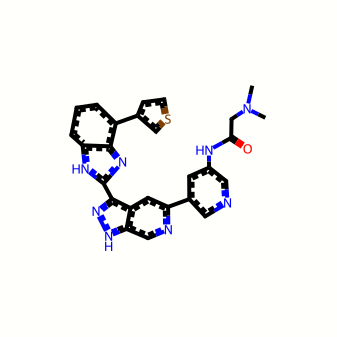 CN(C)CC(=O)Nc1cncc(-c2cc3c(-c4nc5c(-c6ccsc6)cccc5[nH]4)n[nH]c3cn2)c1